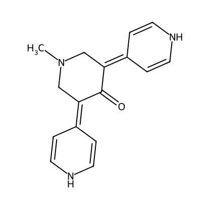 CN1CC(=C2C=CNC=C2)C(=O)C(=C2C=CNC=C2)C1